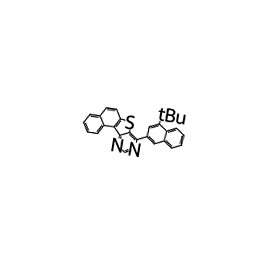 CC(C)(C)c1cc(-c2ncnc3c2sc2ccc4ccccc4c23)cc2ccccc12